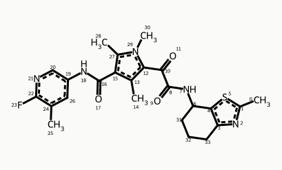 Cc1nc2c(s1)C(NC(=O)C(=O)c1c(C)c(C(=O)Nc3cnc(F)c(C)c3)c(C)n1C)CCC2